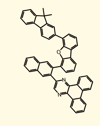 CC1(C)c2ccccc2-c2ccc(-c3cccc4c3oc3c(-c5cc6ccccc6cc5-c5cnc6c7ccccc7c7ccccc7c6n5)cccc34)cc21